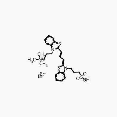 C[N+](C)(C)CCC[n+]1c(C=CC=C2Sc3ccccc3N2CCCS(=O)(=O)O)sc2ccccc21.[Br-].[Br-]